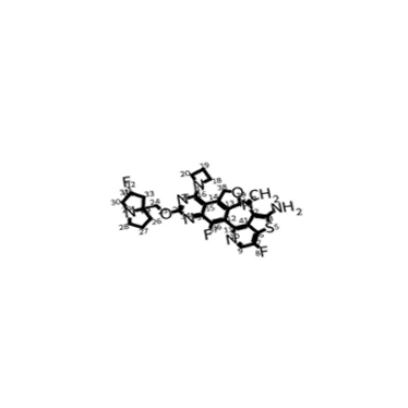 C=Nc1c(N)sc2c(F)cnc(-c3c4c(c5c(N6CCC6)nc(OC[C@@]67CCCN6C[C@H](F)C7)nc5c3F)COC4)c12